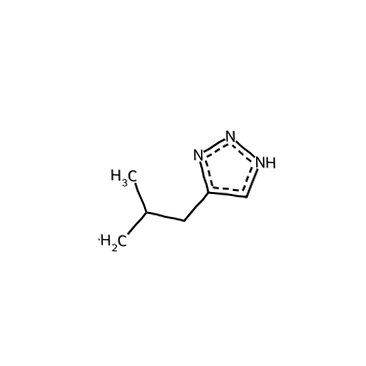 [CH2]C(C)Cc1c[nH]nn1